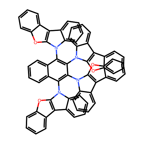 c1ccc2c(c1)oc1c2c2ccccc2n1-c1c(-n2c3ccccc3c3c4ccccc4oc32)c(-n2c3ccccc3c3c4ccccc4oc32)c2ccccc2c1-n1c2ccccc2c2c3ccccc3oc21